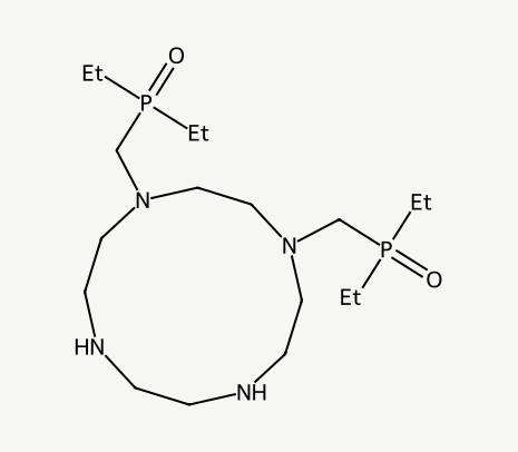 CCP(=O)(CC)CN1CCNCCNCCN(CP(=O)(CC)CC)CC1